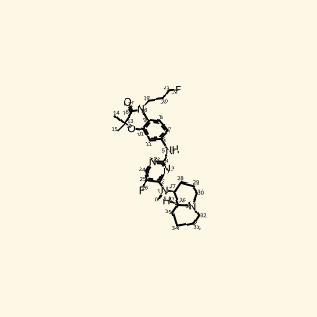 CN(c1nc(Nc2ccc3c(c2)OC(C)(C)C(=O)N3CCCF)ncc1F)[C@H]1CCCN2CCCC[C@H]12